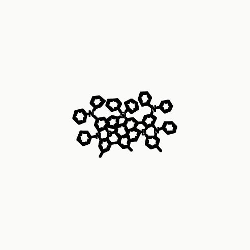 Cc1ccc2c(c1)N(c1ccccc1)c1cc(N(c3ccccc3)c3ccccc3)cc3c1B2c1cc2c(C)cc4c5c(cc6c([Si](c7ccccc7)(c7ccccc7)c7ccccc7)cc-3c1c6c25)B1c2ccc(N(c3ccccc3)c3ccccc3)cc2N(c2ccccc2)c2cc(C)cc-4c21